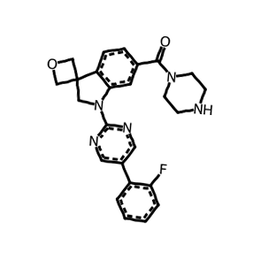 O=C(c1ccc2c(c1)N(c1ncc(-c3ccccc3F)cn1)CC21COC1)N1CCNCC1